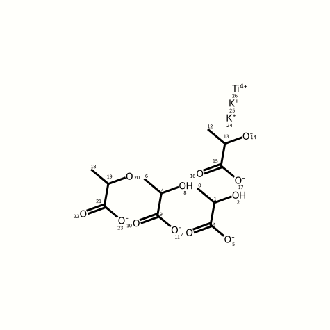 CC(O)C(=O)[O-].CC(O)C(=O)[O-].CC([O-])C(=O)[O-].CC([O-])C(=O)[O-].[K+].[K+].[Ti+4]